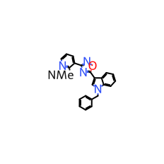 CNc1ncccc1-c1noc(-c2cn(Cc3ccccc3)c3ccccc23)n1